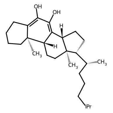 CC(C)CCC[C@@H](C)[C@H]1CC[C@H]2C3=C(O)C(O)=C4CCCC[C@]4(C)[C@H]3CC[C@]12C